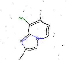 Cc1cn2ccc(C)c(Br)c2n1